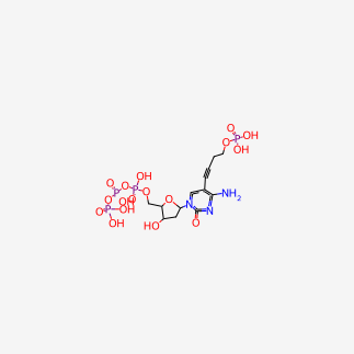 Nc1nc(=O)n(C2CC(O)C(COP(=O)(O)OP(=O)(O)OP(=O)(O)O)O2)cc1C#CCCOP(=O)(O)O